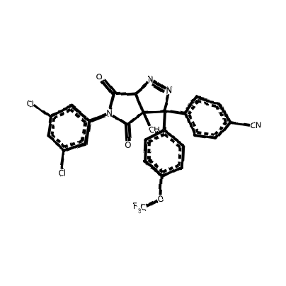 CC12C(=O)N(c3cc(Cl)cc(Cl)c3)C(=O)C1N=NC2(c1ccc(C#N)cc1)c1ccc(OC(F)(F)F)cc1